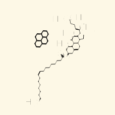 CCCCCCCC/C=C\CCCCCCCC(=O)OC1CC[C@@]2(C)C(=CCC3C2CC[C@@]2(C)C3CC[C@@H]2[C@H](C)CCCC(C)C)C1.c1cc2ccc3cccc4ccc(c1)c2c34